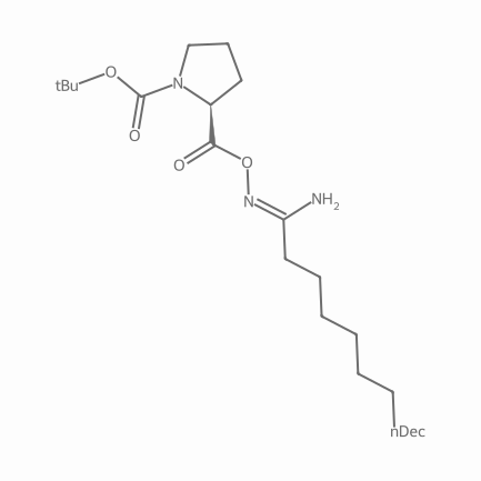 CCCCCCCCCCCCCCCCC(N)=NOC(=O)[C@@H]1CCCN1C(=O)OC(C)(C)C